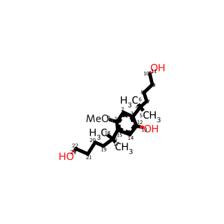 COc1cc(C(C)(C)CCCCO)c(O)cc1C(C)(C)CCCCO